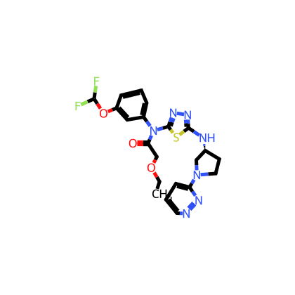 CCOCC(=O)N(c1cccc(OC(F)F)c1)c1nnc(N[C@@H]2CCN(c3cccnn3)C2)s1